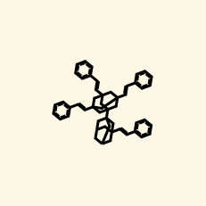 C(=C\C12CC3CC(C1)CC(C14CC5(/C=C/c6ccccc6)CC(/C=C/c6ccccc6)(CC(/C=C/c6ccccc6)(C5)C1)C4)(C3)C2)/c1ccccc1